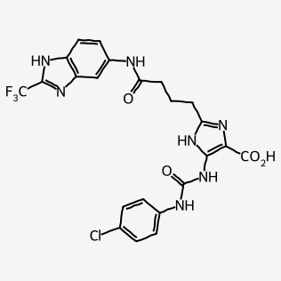 O=C(CCCc1nc(C(=O)O)c(NC(=O)Nc2ccc(Cl)cc2)[nH]1)Nc1ccc2[nH]c(C(F)(F)F)nc2c1